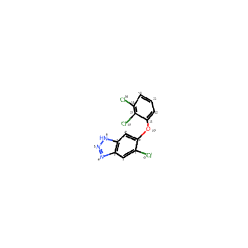 Clc1cc2nn[nH]c2cc1Oc1cccc(Cl)c1Cl